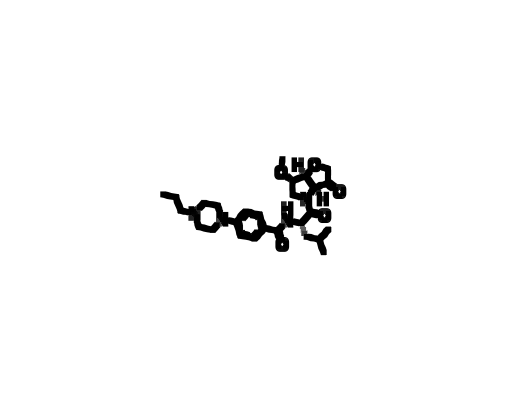 CCCN1CCN(c2ccc(C(=O)N[C@@H](CC(C)C)C(=O)N3C[C@@H](OC)[C@H]4OCC(=O)[C@H]43)cc2)CC1